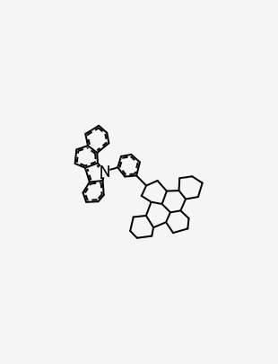 c1cc(C2CC3C4CCCCC4C4CCCC5C6CCCCC6C(C2)C3C45)cc(-n2c3ccccc3c3ccc4ccccc4c32)c1